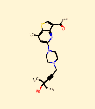 CNC(=O)c1csc2c(C(F)(F)F)cc(N3CCN(CC#CC(C)(C)O)CC3)nc12